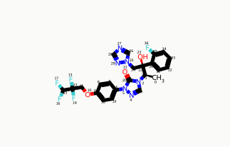 C[C@@H](n1cnn(-c2ccc(OCC(F)(F)C(F)F)cc2)c1=O)[C@](O)(Cn1cncn1)c1ccccc1F